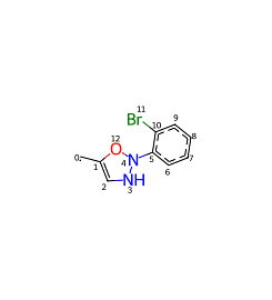 [CH2]C1=CNN(c2ccccc2Br)O1